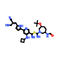 CC(C)(C)OC1CCC(NC=O)CN(C(=N)SC(=N)c2cnc(-c3ccc(/C=C(/C#N)C=N)[nH]3)cc2NC2CCC2)C1